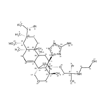 CC(C)[C@@H](C)[C@@]1(C)CC[C@]2(C)[C@H]3CC[C@@H]4[C@@]5(COC[C@@]4(C)[C@@H](OC[C@](C)(NCCO)C(C)C)[C@H](n4nnc(N)n4)C5)C3=CC[C@@]2(C)[C@@H]1C(=O)O